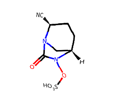 N#C[C@H]1CC[C@H]2CN1C(=O)N2OS(=O)(=O)O